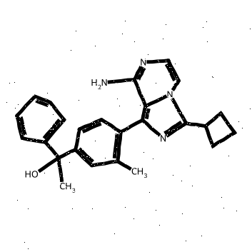 Cc1cc(C(C)(O)c2ccccc2)ccc1-c1nc(C2CCC2)n2ccnc(N)c12